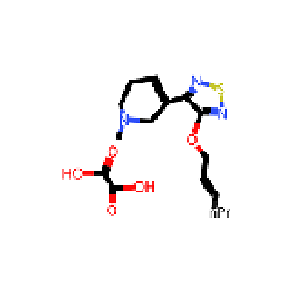 CCCC=CCOc1nsnc1C1=CCCN(C)C1.O=C(O)C(=O)O